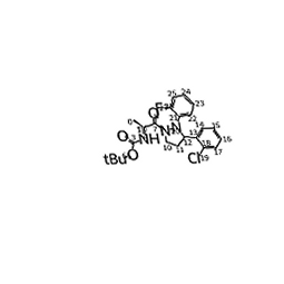 C[C@H](NC(=O)OC(C)(C)C)C(=O)N1CCC(c2ccccc2Cl)N1c1ccccc1F